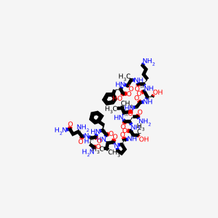 CC(C)[C@H](NC(=O)[C@H](CC(N)=O)NC(=O)[C@@H](NC(=O)[C@@H]1CCCN1C(=O)[C@@H](NC(=O)[C@H](Cc1ccccc1)NC(=O)[C@H](CC(N)=O)NC(=O)[C@@H](N)CC(N)=O)C(C)C)[C@@H](C)O)C(=O)NCC(=O)N[C@@H](CO)C(=O)N[C@@H](CCCCN)C(=O)N[C@@H](C)C(=O)N[C@@H](Cc1ccccc1)C(=O)O